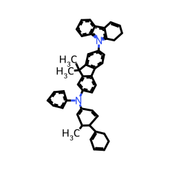 CC1C=C(N(c2ccccc2)c2ccc3c(c2)C(C)(C)c2cc(-n4c5c(c6ccccc64)C=CCC5)ccc2-3)C=CC1C1=CC=CCC1